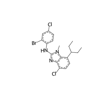 CCC(CC)c1ccc(Cl)c2nc(Nc3ccc(Cl)cc3Br)n(C)c12